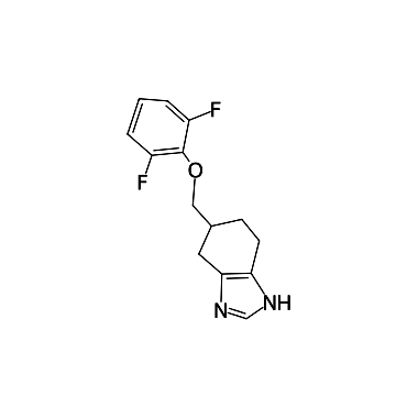 Fc1cccc(F)c1OCC1CCc2[nH]cnc2C1